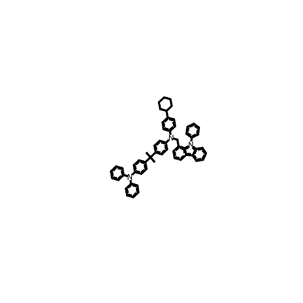 CC(C)(c1ccc(N(Cc2cccc3c4ccccc4n(-c4ccccc4)c23)c2ccc(C3CCCCC3)cc2)cc1)c1ccc(N(c2ccccc2)c2ccccc2)cc1